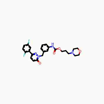 O=C(Nc1cccc(Cn2nc(-c3cc(F)ccc3F)ccc2=O)c1)OCCCN1CCOCC1